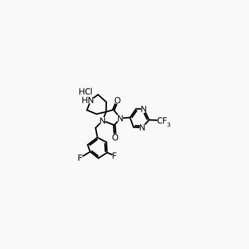 Cl.O=C1N(c2cnc(C(F)(F)F)nc2)C(=O)C2(CCNCC2)N1Cc1cc(F)cc(F)c1